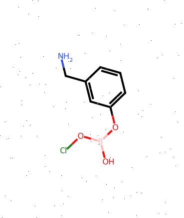 NCc1cccc(OB(O)OCl)c1